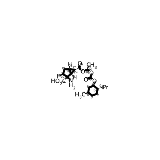 CC(C)[C@@H]1CC[C@@H](C)C[C@H]1OC(=O)O[C@H](C)OC(=O)[C@H]1[C@@H]2C[C@H](F)[C@@](N)(C(=O)O)[C@@H]21